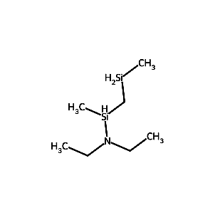 CCN(CC)[SiH](C)C[SiH2]C